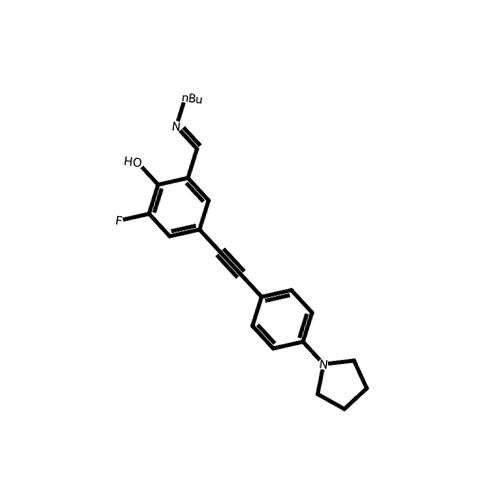 CCCC/N=C/c1cc(C#Cc2ccc(N3CCCC3)cc2)cc(F)c1O